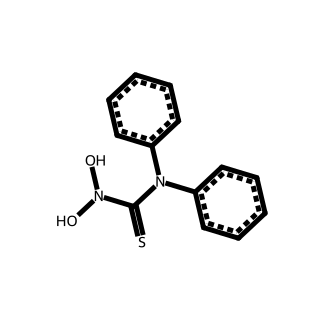 ON(O)C(=S)N(c1ccccc1)c1ccccc1